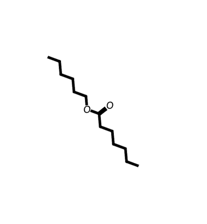 CCCCCCOC(=O)CCCCCC